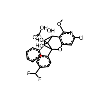 COc1nc(Cl)cc2c1[C@]1(O)[C@@H](C(=O)O)[C@@H](c3ccccc3)C(c3ccc(C(F)F)cc3)(O2)C1(O)O